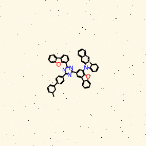 CC1C=CC=C(c2ccc(-c3nc(-c4cc(-n5c6ccccc6c6cc7ccccc7cc65)c5oc6ccccc6c5c4)nc(-c4cccc5c4oc4ccccc45)n3)cc2)C1